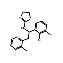 Cc1cccnc1CC(NC1=NCCS1)c1cccc(Cl)c1Cl